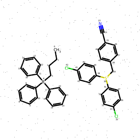 CCCC[B-](c1ccccc1)(c1ccccc1)c1ccccc1.N#Cc1ccc(C[S+](c2ccc(Cl)cc2)c2ccc(Cl)cc2)cc1